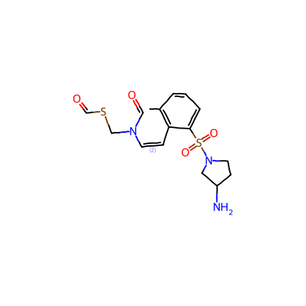 Cc1cccc(S(=O)(=O)N2CCC(N)C2)c1/C=C\N(C=O)CSC=O